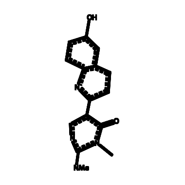 CNc1ncc(-c2ccc3cc(O)ccc3n2)c(=O)n1C